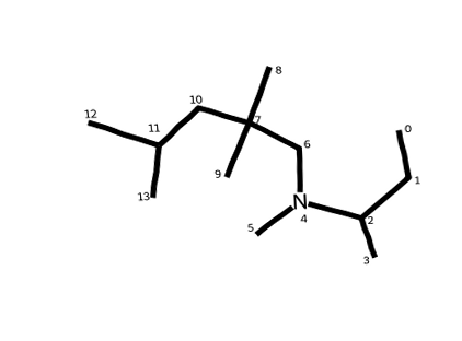 CCC(C)N(C)CC(C)(C)CC(C)C